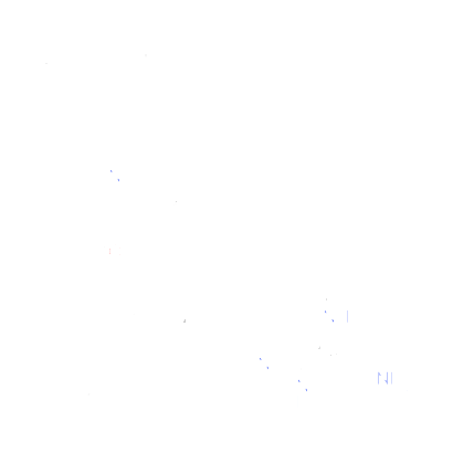 CC(=NNC(=N)N)c1cccc(OCc2ccc3ccccc3n2)c1